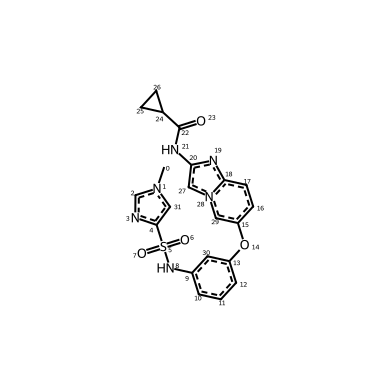 Cn1cnc(S(=O)(=O)Nc2cccc(Oc3ccc4nc(NC(=O)C5CC5)cn4c3)c2)c1